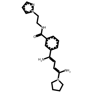 N/C(=C\C=C(/N)N1CCCC1)c1cccc(C(=O)NCCn2cccn2)c1